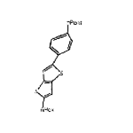 CCCCCCc1cc2sc(-c3ccc(CCCCC)cc3)cc2s1